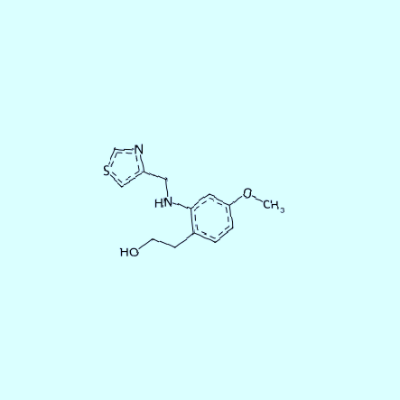 COc1ccc(CCO)c(NCc2cscn2)c1